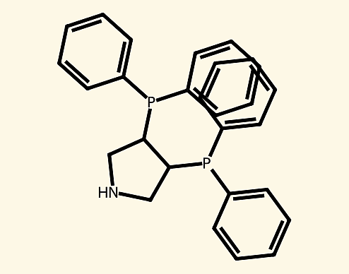 c1ccc(P(c2ccccc2)C2CNCC2P(c2ccccc2)c2ccccc2)cc1